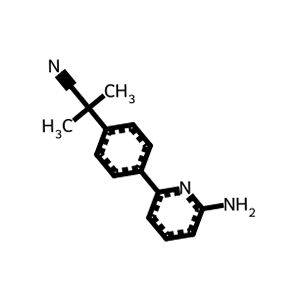 CC(C)(C#N)c1ccc(-c2cccc(N)n2)cc1